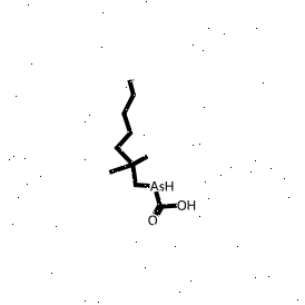 [CH2]CCCCC(C)(C)C[AsH]C(=O)O